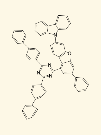 c1ccc(-c2ccc(-c3nc(-c4ccc(-c5ccccc5)cc4)nc(-c4cc(-c5ccccc5)cc5oc6cc(-n7c8ccccc8c8ccccc87)ccc6c45)n3)cc2)cc1